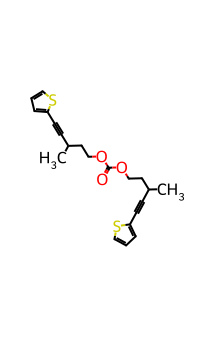 CC(C#Cc1cccs1)CCOC(=O)OCCC(C)C#Cc1cccs1